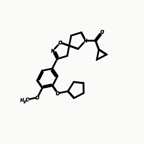 COc1ccc(C2=NOC3(CCN(C(=O)C4CC4)C3)C2)cc1OC1CCCC1